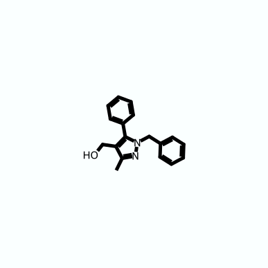 Cc1nn(Cc2ccccc2)c(-c2ccccc2)c1CO